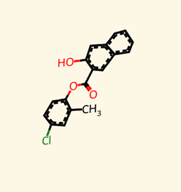 Cc1cc(Cl)ccc1OC(=O)c1cc2ccccc2cc1O